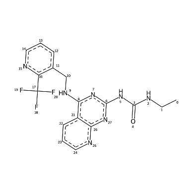 CCNC(=O)Nc1nc(NCc2cccnc2C(F)(F)F)c2cccnc2n1